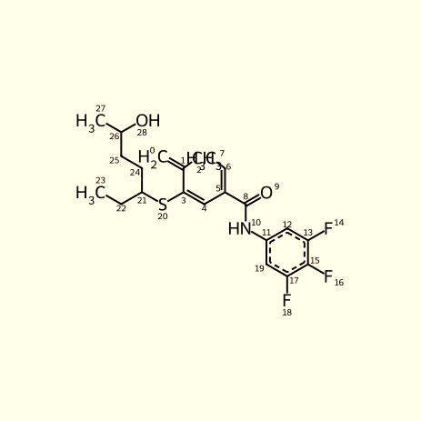 C=C(C)/C(=C\C(=C/C)C(=O)Nc1cc(F)c(F)c(F)c1)SC(CC)CCC(C)O